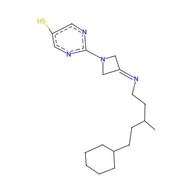 CC(CCN=C1CN(c2ncc(S)cn2)C1)CCC1CCCCC1